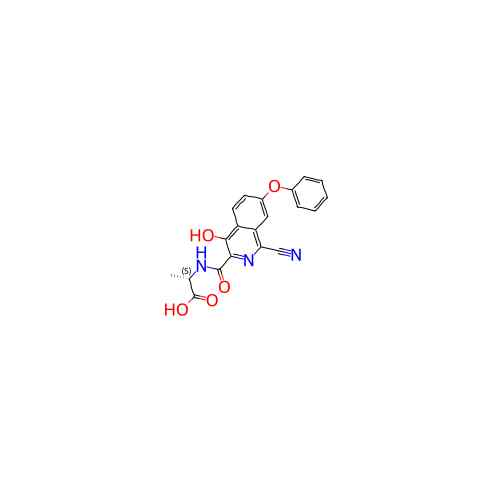 C[C@H](NC(=O)c1nc(C#N)c2cc(Oc3ccccc3)ccc2c1O)C(=O)O